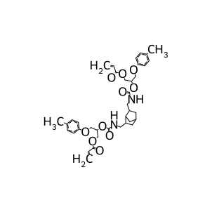 C=CC(=O)OCC(COc1ccc(C)cc1)OC(=O)NCC1CC2CC(CNC(=O)OC(COC(=O)C=C)COc3ccc(C)cc3)C1C2